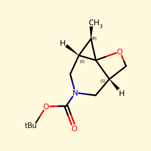 C[C@@H]1[C@H]2CN(C(=O)OC(C)(C)C)C[C@H]3COC312